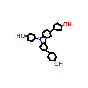 Oc1ccc(-c2ccc3c(c2)c2cc(-c4ccc(O)cc4)ccc2n3-c2ccc(O)cc2)cc1